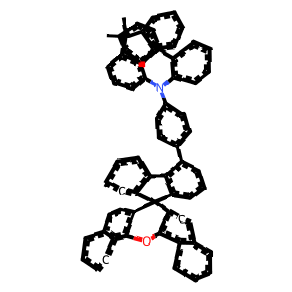 CC1(C)c2ccccc2-c2c(N(c3ccc(-c4cccc5c4-c4ccccc4C54c5ccc6ccccc6c5Oc5c4ccc4ccccc54)cc3)c3ccccc3-c3ccccc3)cccc21